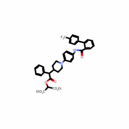 CCOC(=O)C(OC(=O)C(c1ccccc1)C1CCN(c2ccc(NC(=O)c3ccccc3-c3ccc(C(F)(F)F)cc3)cc2)CC1)C(=O)OCC